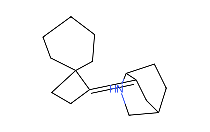 C1CCC2(CC1)CCC2=C1CC2CCC1NC2